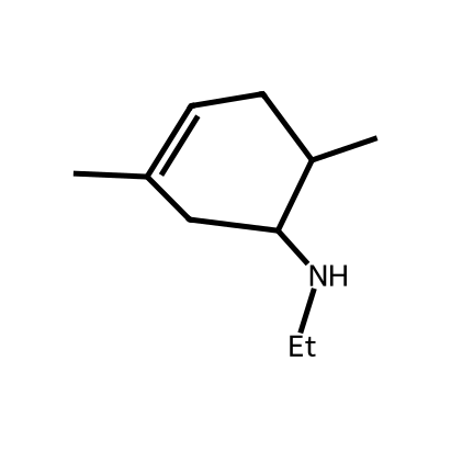 CCNC1CC(C)=CCC1C